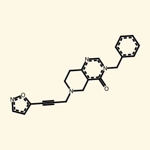 O=c1c2c(ncn1Cc1ccccc1)CCN(CC#Cc1ccno1)C2